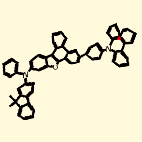 CC1(C)c2ccccc2-c2ccc(N(c3ccccc3)c3ccc4c(c3)oc3c5ccc(-c6ccc(N(c7ccccc7)c7ccccc7-c7ccccc7)cc6)cc5c5ccccc5c43)cc21